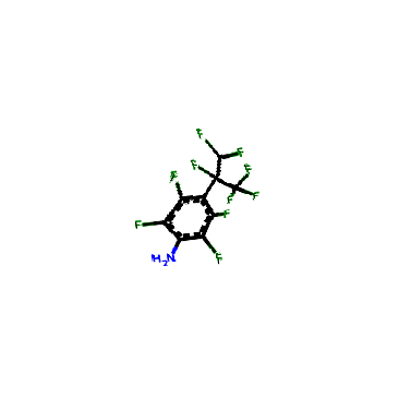 Nc1c(F)c(F)c(C(F)(C(F)F)C(F)(F)F)c(F)c1F